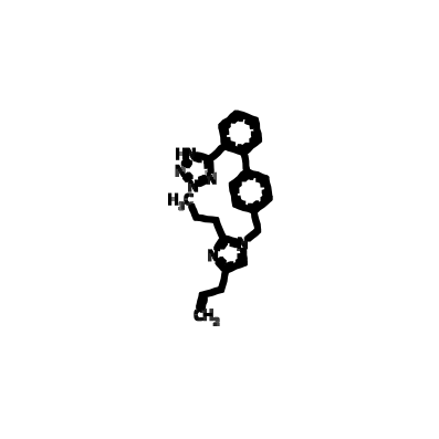 C=CCc1cn(Cc2ccc(-c3ccccc3-c3nnn[nH]3)cc2)c(CCC)n1